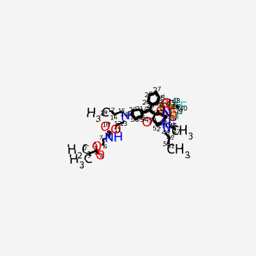 C=C(C)C(=O)OCCNC(=O)OCCN(CCCC)c1ccc2c(-c3ccccc3S(=O)(=O)NS(=O)(=O)C(F)(F)F)c3cc/c(=[N+](\CC)CCCC)cc-3oc2c1